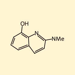 CNc1ccc2cccc(O)c2n1